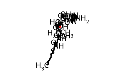 CCCCCCCCSCCNC(=O)CCNC(=O)[C@H](O)C(C)(C)COP(=O)(O)OP(=O)(O)OC[C@H]1O[C@@H](n2cnc3c(N)ncnc32)[C@H](O)[C@@H]1OP(=O)(O)O